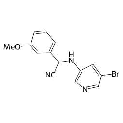 COc1cccc(C(C#N)Nc2cncc(Br)c2)c1